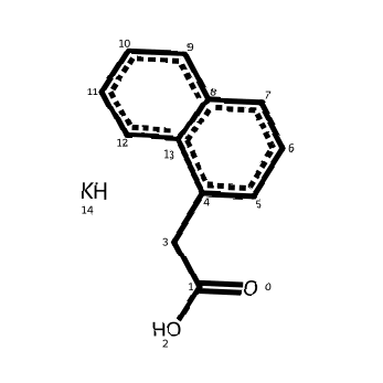 O=C(O)Cc1cccc2ccccc12.[KH]